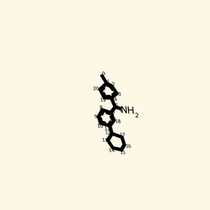 Cc1ccc(C(N)c2cccc(C3CCCCC3)c2)cc1